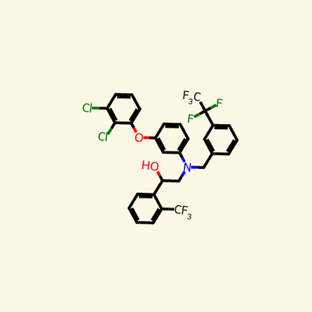 OC(CN(Cc1cccc(C(F)(F)C(F)(F)F)c1)c1cccc(Oc2cccc(Cl)c2Cl)c1)c1ccccc1C(F)(F)F